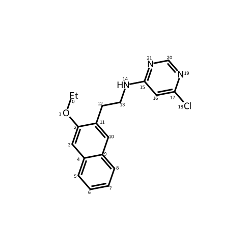 CCOc1cc2ccccc2cc1CCNc1cc(Cl)ncn1